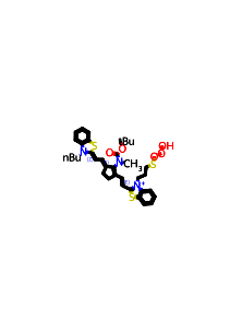 CCCCN1/C(=C/C=C2\CCC(/C=C/c3sc4ccccc4[n+]3CCCSOOO)=C2N(C)C(=O)OC(C)(C)C)Sc2ccccc21